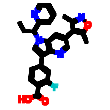 CC[C@@H](c1ccccn1)n1cc(-c2ccc(C(=O)O)c(F)c2)c2ncc(-c3c(C)noc3C)cc21